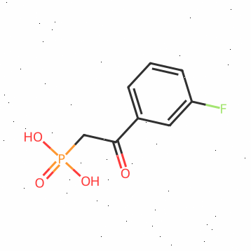 O=C(CP(=O)(O)O)c1cccc(F)c1